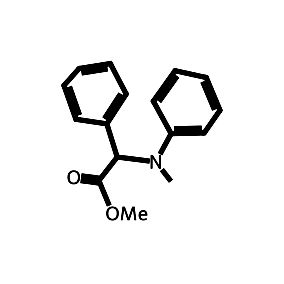 COC(=O)C(c1ccccc1)N(C)c1ccccc1